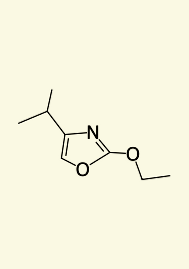 CCOc1nc(C(C)C)co1